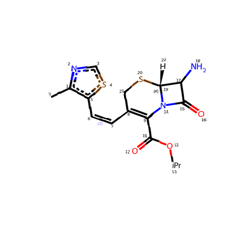 Cc1ncsc1/C=C\C1=C(C(=O)OC(C)C)N2C(=O)C(N)[C@H]2SC1